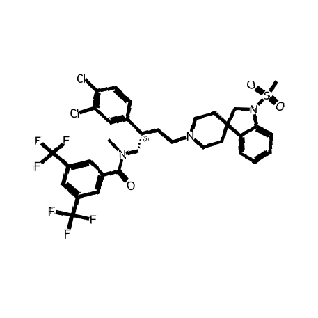 CN(C[C@@H](CCN1CCC2(CC1)CN(S(C)(=O)=O)c1ccccc12)c1ccc(Cl)c(Cl)c1)C(=O)c1cc(C(F)(F)F)cc(C(F)(F)F)c1